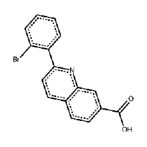 O=C(O)c1ccc2ccc(-c3ccccc3Br)nc2c1